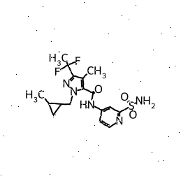 Cc1c(C(C)(F)F)nn(CC2CC2C)c1C(=O)Nc1ccnc(S(N)(=O)=O)c1